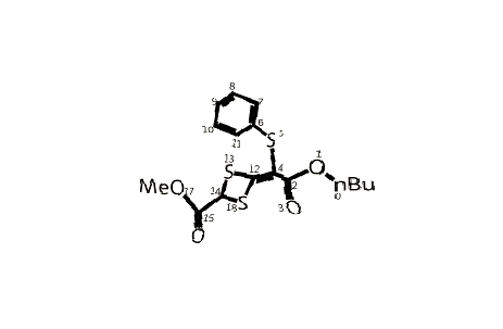 CCCCOC(=O)C(Sc1ccccc1)=C1SC(C(=O)OC)S1